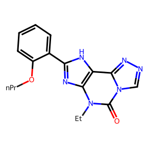 CCCOc1ccccc1-c1nc2c([nH]1)c1nncn1c(=O)n2CC